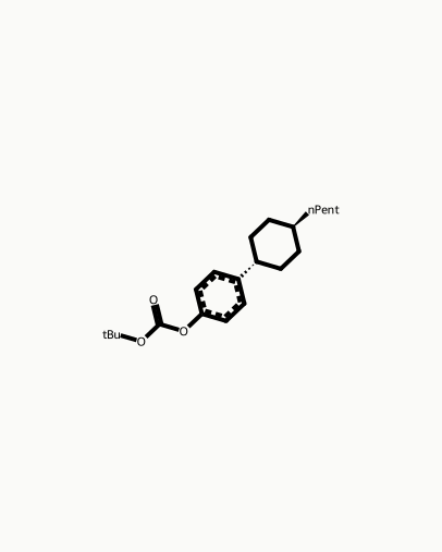 CCCCC[C@H]1CC[C@H](c2ccc(OC(=O)OC(C)(C)C)cc2)CC1